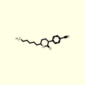 CCCCCCC1CCC(c2ccc(C#N)cc2)C(=O)O1